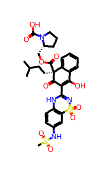 CC(C)CC[C@@]1(C(=O)OC[C@H]2CCCN2C(=O)O)C(=O)C(C2=NS(=O)(=O)c3cc(NS(C)(=O)=O)ccc3N2)=C(O)c2ccccc21